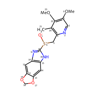 COc1cnc(C[S+]([O-])c2nc3cc4c(cc3[nH]2)OCO4)c(C)c1OC